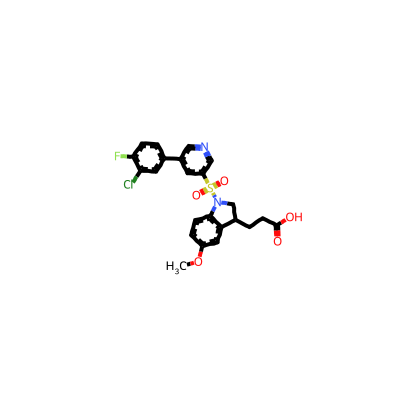 COc1ccc2c(c1)C(CCC(=O)O)CN2S(=O)(=O)c1cncc(-c2ccc(F)c(Cl)c2)c1